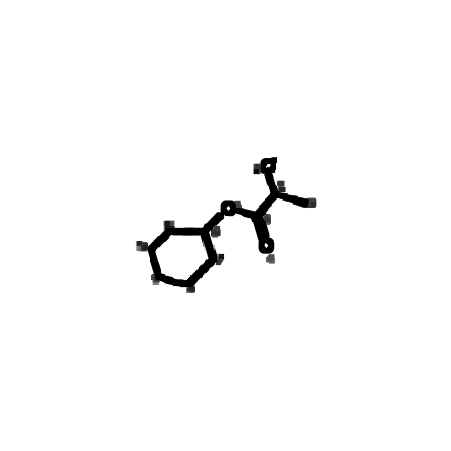 C[C@H](Cl)C(=O)OC1CCCCC1